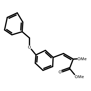 COC(=O)C(=Cc1cccc(OCc2ccccc2)c1)OC